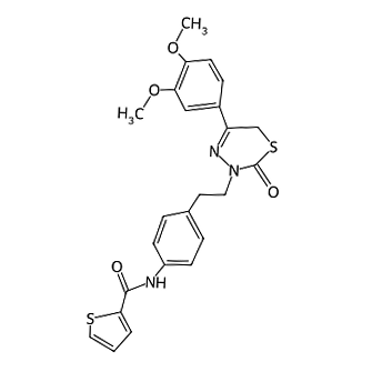 COc1ccc(C2=NN(CCc3ccc(NC(=O)c4cccs4)cc3)C(=O)SC2)cc1OC